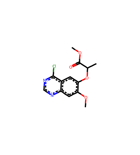 COC(=O)C(C)Oc1cc2c(Cl)ncnc2cc1OC